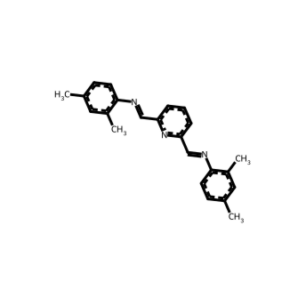 Cc1ccc(N=Cc2cccc(C=Nc3ccc(C)cc3C)n2)c(C)c1